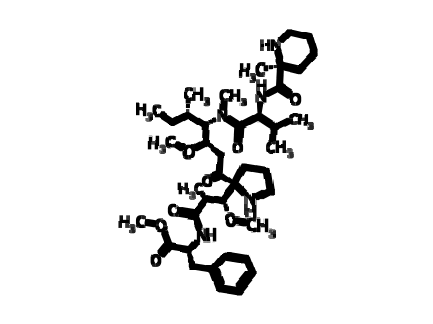 CC[C@H](C)[C@@H]([C@@H](CC(=O)[C@@]1([C@H](OC)[C@@H](C)C(=O)N[C@@H](Cc2ccccc2)C(=O)OC)CCCN1)OC)N(C)C(=O)[C@@H](NC(=O)[C@]1(C)CCCCN1)C(C)C